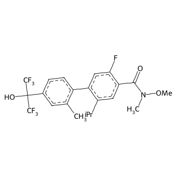 CON(C)C(=O)c1cc(C(C)C)c(-c2ccc(C(O)(C(F)(F)F)C(F)(F)F)cc2C)cc1F